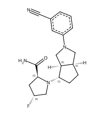 N#Cc1cccc(N2C[C@H]3CC[C@H](N4C[C@H](F)C[C@H]4C(N)=O)[C@H]3C2)c1